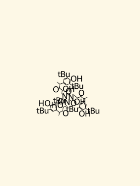 CC(C(=O)C(O)Cn1c(=O)n(CC(O)C(=O)C(C)c2cc(C(C)(C)C)c(O)c(C(C)(C)C)c2)c(=O)n(CC(O)C(=O)C(C)c2cc(C(C)(C)C)c(O)c(C(C)(C)C)c2)c1=O)c1cc(C(C)(C)C)c(O)c(C(C)(C)C)c1